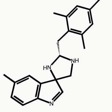 Cc1cc(C)c(C[C@@H]2NCC3(C=Nc4ccc(C)cc43)N2)c(C)c1